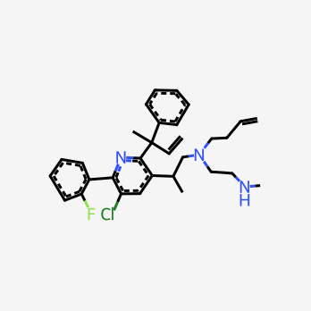 C=CCCN(CCNC)CC(C)c1cc(Cl)c(-c2ccccc2F)nc1C(C)(C=C)c1ccccc1